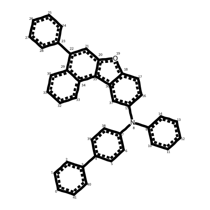 c1ccc(-c2ccc(N(c3ccccc3)c3ccc4oc5cc(-c6ccccc6)c6ccccc6c5c4c3)cc2)cc1